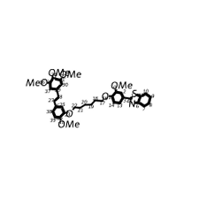 COc1cc(-c2nc3ccccc3s2)ccc1OCCCCCCOc1cc(C=Cc2cc(OC)c(OC)c(OC)c2)ccc1OC